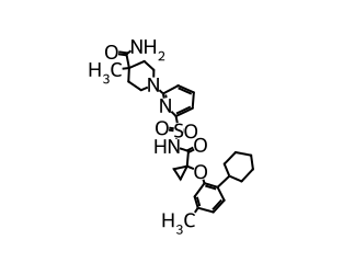 Cc1ccc(C2CCCCC2)c(OC2(C(=O)NS(=O)(=O)c3cccc(N4CCC(C)(C(N)=O)CC4)n3)CC2)c1